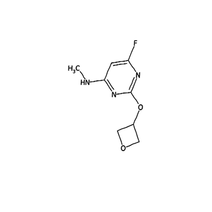 CNc1cc(F)nc(OC2COC2)n1